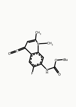 CC1=CC(=C=O)c2cc(F)c(NC(=O)OC(C)(C)C)cc2N1C